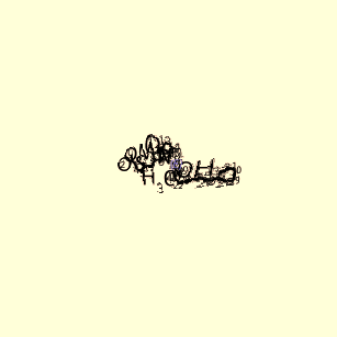 COC(=O)c1ccc(CCCN2C(=O)CC[C@@H]2/C=C/[C@@H](O)[C@@H](C)CC#CCCc2ccccc2)s1